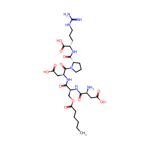 CCCCCC(=O)OC[C@H](NC(=O)[C@@H](N)CC(=O)O)C(=O)N[C@@H](CC(=O)O)C(=O)N1CCC[C@H]1C(=O)N[C@@H](CCCNC(=N)N)C(=O)O